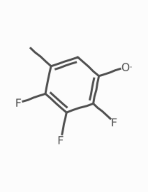 Cc1cc([O])c(F)c(F)c1F